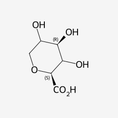 O=C(O)[C@H]1OCC(O)[C@@H](O)C1O